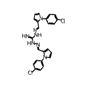 N=C(N/N=C/c1cccn1-c1ccc(Cl)cc1)N/N=C/c1cccn1-c1ccc(Cl)cc1